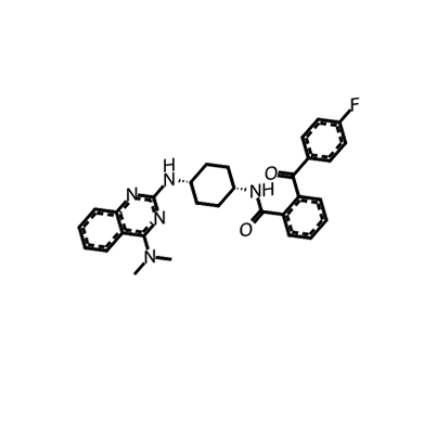 CN(C)c1nc(N[C@H]2CC[C@@H](NC(=O)c3ccccc3C(=O)c3ccc(F)cc3)CC2)nc2ccccc12